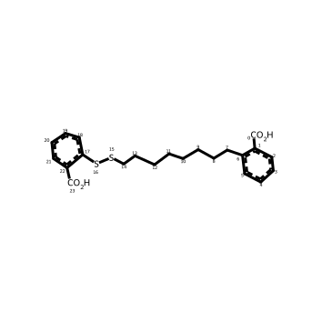 O=C(O)c1ccccc1CCCCCCCCSSc1ccccc1C(=O)O